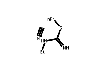 C#N.CCCSC(=N)NCC